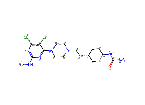 CCNc1nc(Cl)c(Cl)c(N2CCN(CC[C@H]3CC[C@H](NC(N)=O)CC3)CC2)n1